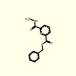 NNC(=O)c1cccc(C(=O)OCc2ccccc2)n1